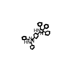 C1=CCCC(C2N=C(C3C=CC(C4N=C(C5C=CC=CC5)C(c5ccccc5)=C(c5ccccc5)N4)=CC3)N=C(c3ccccc3)N2)=C1